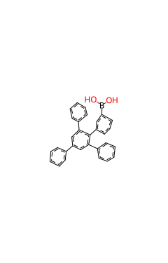 OB(O)c1cccc(-c2c(-c3ccccc3)cc(-c3ccccc3)cc2-c2ccccc2)c1